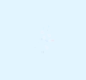 CC1C2C=C[C@H](C2)C1C(=O)N(O)OS(=O)(=O)C(F)(F)F